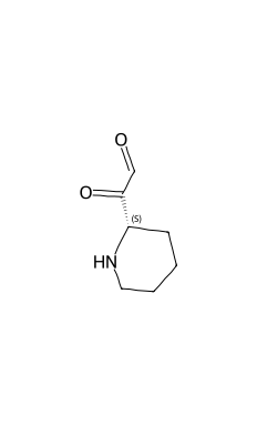 O=CC(=O)[C@@H]1CCCCN1